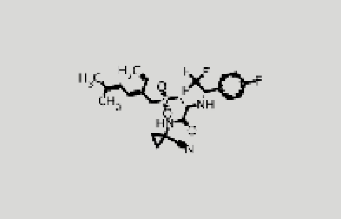 C=C/C(=C\C=C(C)C)CS(=O)(=O)C[C@H](N[C@@H](c1ccc(F)cc1)C(F)(F)F)C(=O)NC1(C#N)CC1